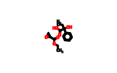 CCC(O)(C(=O)O)c1ccccc1.CCOC(=O)C1CO1